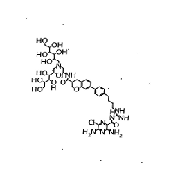 N=C(NCCCCc1ccc(-c2ccc3c(c2)OCC(C(=O)NCCN(CC(O)C(O)C(O)C(O)CO)CC(O)C(O)C(O)C(O)CO)C3)cc1)NC(=O)c1nc(Cl)c(N)nc1N